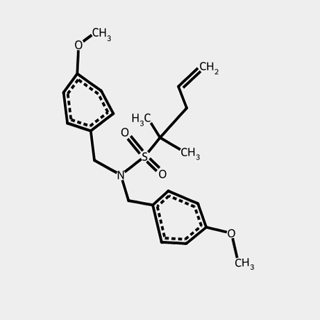 C=CCC(C)(C)S(=O)(=O)N(Cc1ccc(OC)cc1)Cc1ccc(OC)cc1